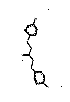 O=C(CCc1ccc(Cl)cc1)CCc1ccc(Br)cc1